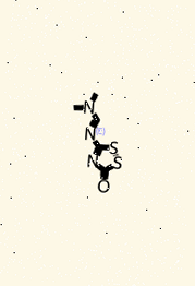 CN(C)/C=N/c1nc(=O)ss1